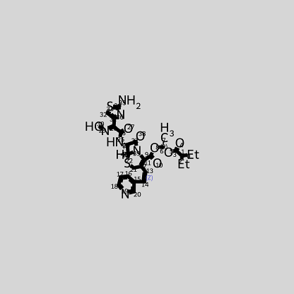 CCC(CC)C(=O)O[C@@H](C)OC(=O)C1=C(/C=C\c2cccnc2)CS[C@H]2[C@H](NC(=O)C(=NO)c3csc(N)n3)C(=O)N12